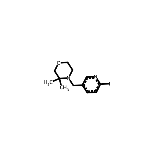 CC1(C)COCCN1Cc1ccc(I)nc1